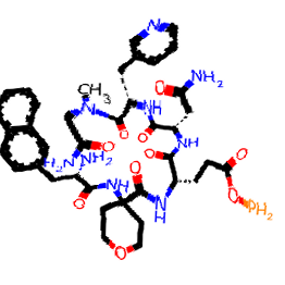 CN(CC(N)=O)C(=O)[C@H](Cc1cccnc1)NC(=O)[C@H](CC(N)=O)NC(=O)[C@H](CCC(=O)OP)NC(=O)C1(NC(=O)[C@@H](N)Cc2ccc3ccccc3c2)CCOCC1